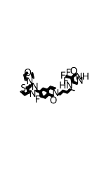 C[C@@H](CCCn1ccc2cc(-c3nc(N4CCOCC4)c4sccc4n3)c(F)cc2c1=O)Nc1cn[nH]c(=O)c1C(F)(F)F